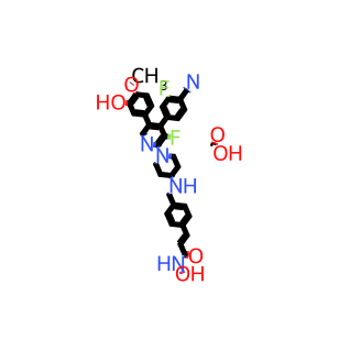 COc1ccc(-c2cnc(N3CCC(NCc4ccc(/C=C/C(=O)NO)cc4)CC3)c(F)c2-c2ccc(C#N)c(F)c2)cc1O.O=CO